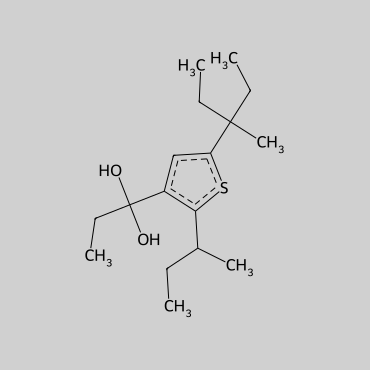 CCC(C)c1sc(C(C)(CC)CC)cc1C(O)(O)CC